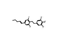 CCC/C=C/c1cc(F)c(CCc2cc(F)c(F)c(F)c2)c(F)c1